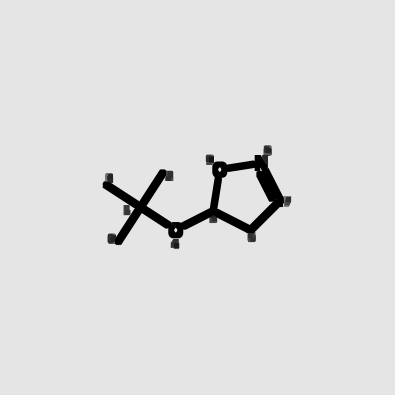 CC(C)(C)OC1C[C]=NO1